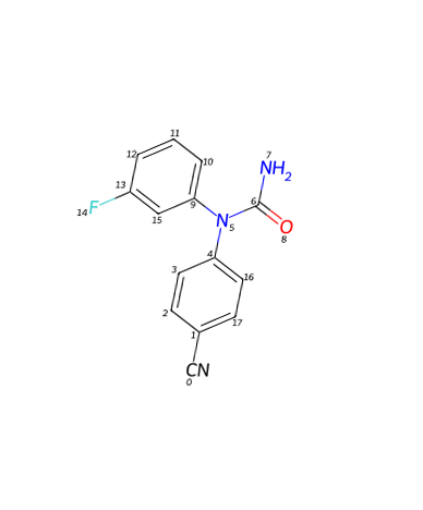 N#Cc1ccc(N(C(N)=O)c2cccc(F)c2)cc1